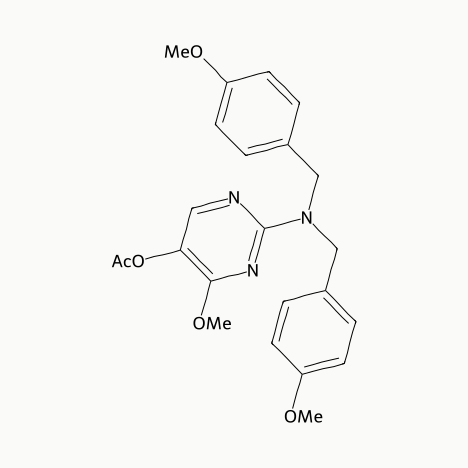 COc1ccc(CN(Cc2ccc(OC)cc2)c2ncc(OC(C)=O)c(OC)n2)cc1